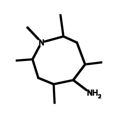 CC1CC(C)N(C)C(C)CC(C)C1N